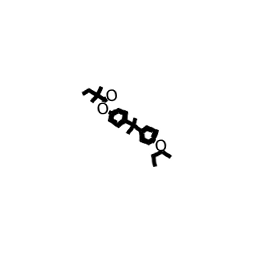 CCC(C)Oc1ccc(C(C)(C)c2ccc(OC(=O)C(C)(C)CC)cc2)cc1